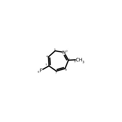 CC1=NCC=C(F)C=C1